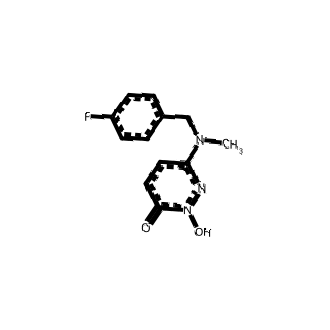 CN(Cc1ccc(F)cc1)c1ccc(=O)n(O)n1